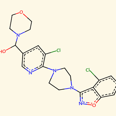 OC(c1cnc(N2CCN(c3noc4cccc(Cl)c34)CC2)c(Cl)c1)N1CCOCC1